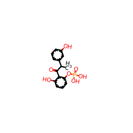 CC(C(=O)c1c(O)cccc1OP(=O)(O)O)c1cccc(O)c1